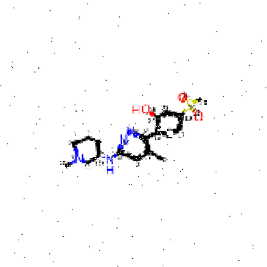 Cc1cc(N[C@H]2CCCN(C)C2)nnc1-c1ccc(S(C)(=O)=O)cc1O